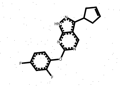 Fc1ccc(Oc2ncc3c(C4CC=CC4)n[nH]c3n2)c(F)c1